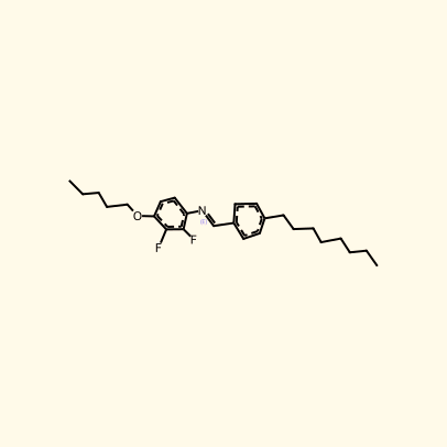 CCCCCCCCc1ccc(/C=N/c2ccc(OCCCCC)c(F)c2F)cc1